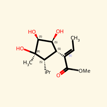 C/C=C(/C(=O)OC)[C@H]1[C@H](O)[C@H](O)[C@](C)(O)[C@H]1C(C)C